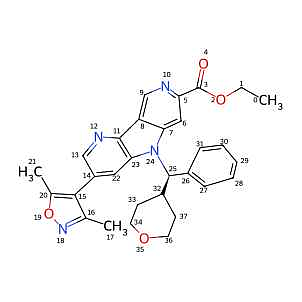 CCOC(=O)c1cc2c(cn1)c1ncc(-c3c(C)noc3C)cc1n2[C@@H](c1ccccc1)C1CCOCC1